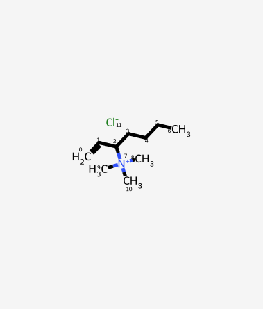 C=CC(CCCC)[N+](C)(C)C.[Cl-]